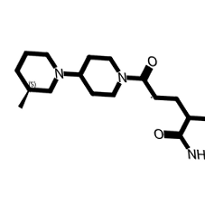 CC(C[CH]C(=O)N1CCC(N2CCC[C@H](C)C2)CC1)C(N)=O